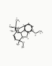 [2H]OC1([2H])C=C[C@]2([2H])[C@@]34CCN(C)[C@]2([2H])Cc2ccc(OC)c(c23)OC14